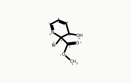 COC(=O)C1(Br)N=CC=CC1O